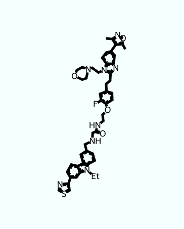 CCn1c2ccc(CNCC(=O)NCCOc3ccc(CCc4nc5cc(-c6c(C)noc6C)ccc5n4CCN4CCOCC4)cc3F)cc2c2ccc(-c3cscn3)cc21